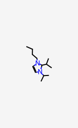 CCCCN1C=CN(C(C)C)C1C(C)C